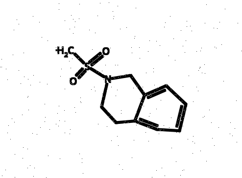 [CH2]S(=O)(=O)N1CCc2ccccc2C1